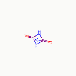 O=P12NP(=O)(N1)N2